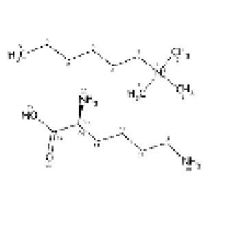 CCCCCC[N+](C)(C)C.NCCCC[C@H](N)C(=O)O